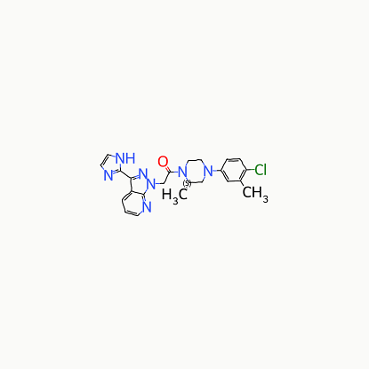 Cc1cc(N2CCN(C(=O)Cn3nc(-c4ncc[nH]4)c4cccnc43)[C@@H](C)C2)ccc1Cl